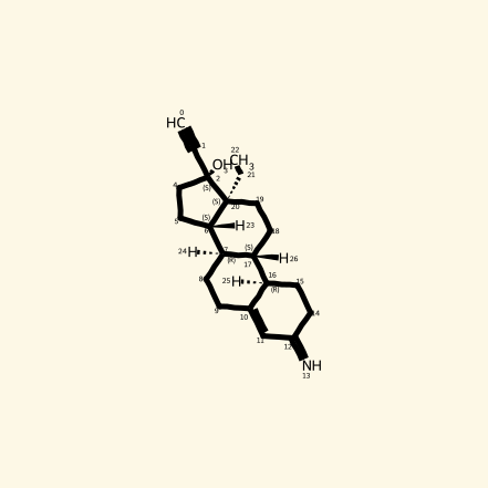 C#C[C@]1(O)CC[C@H]2[C@@H]3CCC4=CC(=N)CC[C@@H]4[C@H]3CC[C@@]21CC